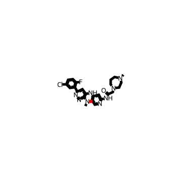 CN1CCCN(CC(=O)Nc2cc(Nc3cc(-c4cc(Cl)ccc4F)nnc3N(C)C)ccn2)CC1